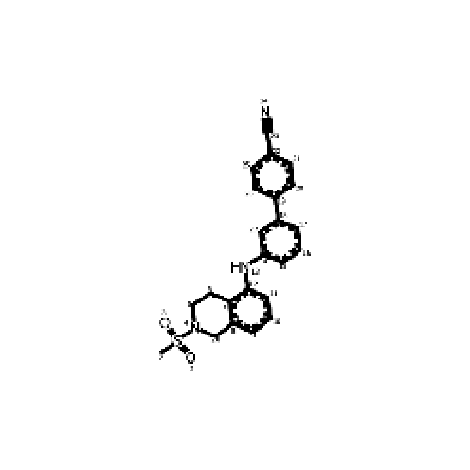 CS(=O)(=O)N1CCc2c(cccc2Nc2cccc(-c3ccc(C#N)cc3)c2)C1